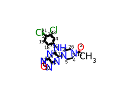 CC(=O)N1CCN(c2nc3nonc3nc2Nc2ccc(Cl)c(Cl)c2)CC1